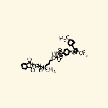 Cc1ccc(-c2cc(C(F)(F)F)nn2-c2ccc(S(=O)(=O)NC(=O)OCCCCN(C)[N+]([O-])=NOCN3C(=O)c4ccccc4C3=O)cc2)cc1